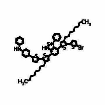 CCCCCCCCc1cc(-c2ccc(-c3cc(CCCCCCCC)c(-c4ccc(Br)s4)s3)c3c2NSN3c2ccccc2)sc1-c1ccc(-c2ccc(Nc3ccccc3)cc2)s1